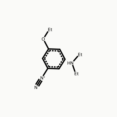 CCNCC.CCOc1cccc([N+]#N)c1